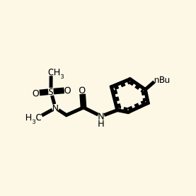 CCCCc1ccc(NC(=O)CN(C)S(C)(=O)=O)cc1